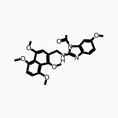 COc1ccc2nc(NCc3cc(OC)c4c(OC)ccc(OC)c4c3OC)n(C(C)=O)c2c1